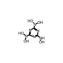 ONc1nc(N(O)O)nc(N(O)O)n1